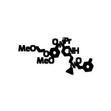 COCCCOc1cc(C(=O)N(C(C)C)[C@@H]2CC[C@H](CCN(C(=O)Cc3cccc(C)c3)C3CC3)NC2)ccc1OC